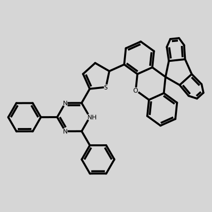 C1=C(C2=NC(c3ccccc3)=NC(c3ccccc3)N2)SC(c2cccc3c2Oc2ccccc2C32c3ccccc3-c3ccccc32)C1